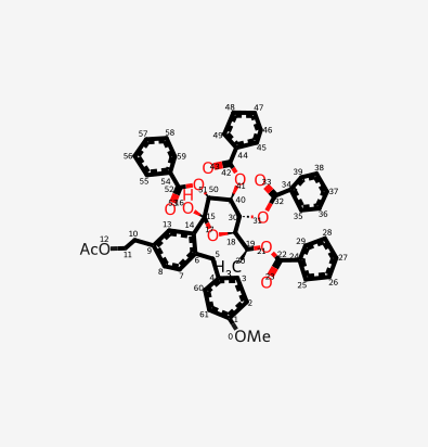 COc1ccc(Cc2ccc(CCOC(C)=O)cc2[C@@]2(O)O[C@H]([C@H](C)OC(=O)c3ccccc3)[C@@H](OC(=O)c3ccccc3)[C@H](OC(=O)c3ccccc3)[C@H]2OC(=O)c2ccccc2)cc1